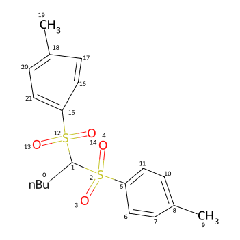 CCCCC(S(=O)(=O)c1ccc(C)cc1)S(=O)(=O)c1ccc(C)cc1